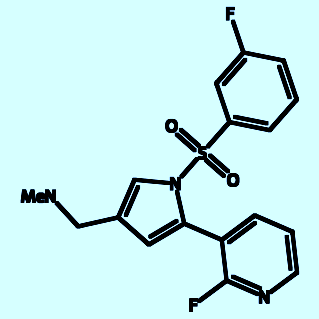 CNCc1cc(-c2cccnc2F)n(S(=O)(=O)c2cccc(F)c2)c1